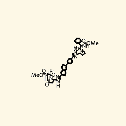 COC(=O)NC(C(=O)N1CCCC1c1nc(-c2ccc(-c3ccc4cc(-c5c[nH]c(C6CC(=O)CN6C(=O)C(NC(=O)OC)C(C)C)n5)ccc4c3)cc2)c[nH]1)c1ccccc1